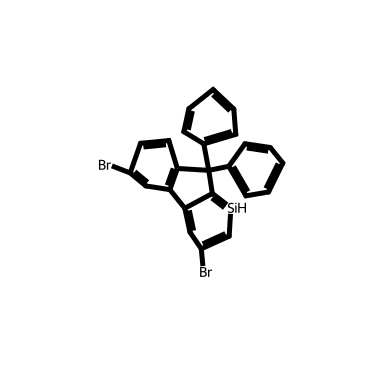 Brc1ccc2c(c1)-c1cc(Br)c[siH]c1C2(c1ccccc1)c1ccccc1